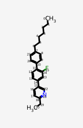 CCCCCCCc1ccc(-c2ccc(-c3ccc(CC)nc3)cc2F)cc1